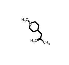 C=C(C)CC1CCN(C)CC1